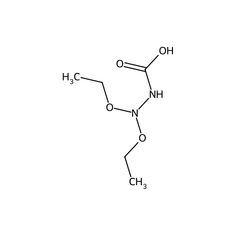 CCON(NC(=O)O)OCC